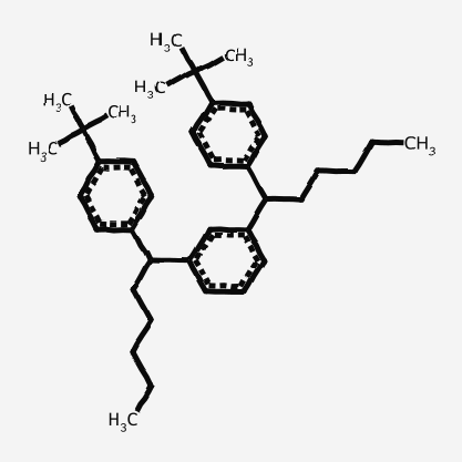 CCCCCC(c1ccc(C(C)(C)C)cc1)c1cccc(C(CCCCC)c2ccc(C(C)(C)C)cc2)c1